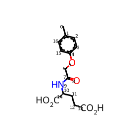 Cc1ccc(OCC(=O)N[C@@H](CCC(=O)O)C(=O)O)cc1